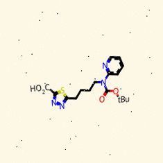 CC(C)(C)OC(=O)N(CCCCc1nnc(C(=O)O)s1)c1ccccn1